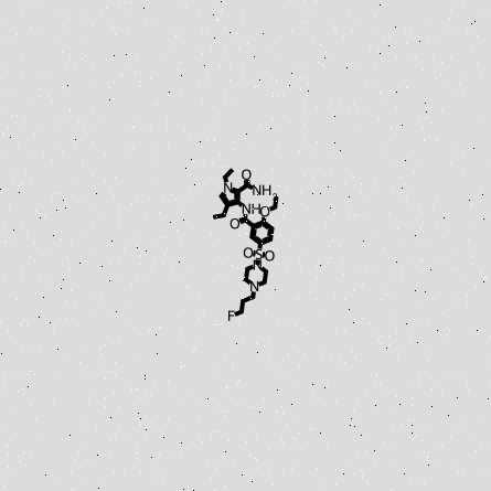 CCOc1ccc(S(=O)(=O)N2CCN(CCCF)CC2)cc1C(=O)Nc1c(CC)cn(CC)c1C(N)=O